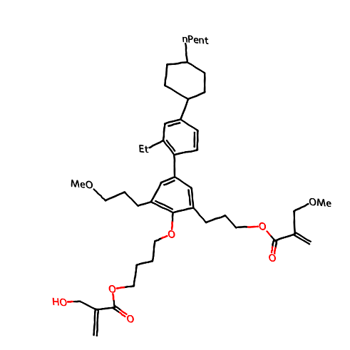 C=C(CO)C(=O)OCCCCOc1c(CCCOC)cc(-c2ccc(C3CCC(CCCCC)CC3)cc2CC)cc1CCCOC(=O)C(=C)COC